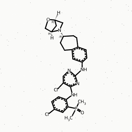 CP(C)(=O)c1cc(Cl)ccc1Nc1nc(Nc2ccc3c(c2)CC[C@H](N2C[C@H]4C[C@@H]2CO4)CC3)ncc1Cl